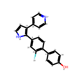 Oc1ccc(-c2ccc(-c3[nH]ccc3-c3ccncc3)cc2F)cc1